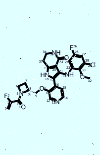 C=C(F)C(=O)N1CC[C@@H]1COc1cnccc1-c1[nH]c2c(c1Nc1cc(F)cc(Cl)c1OC)C(=O)NCC2